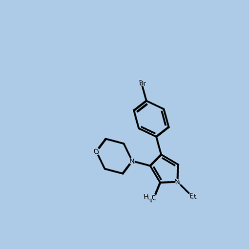 CCn1cc(-c2ccc(Br)cc2)c(N2CCOCC2)c1C